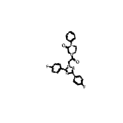 O=C(Cn1nc(-c2ccc(F)cc2)nc1-c1ccc(F)cc1)N1CCN(c2ccccc2)C(=O)C1